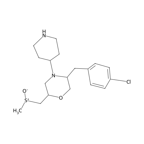 C[S+]([O-])CC1CN(C2CCNCC2)C(Cc2ccc(Cl)cc2)CO1